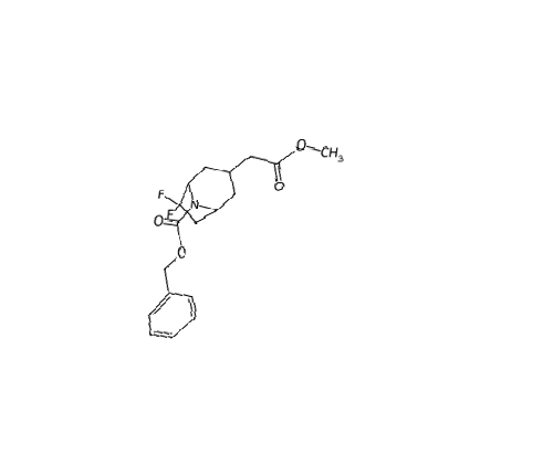 COC(=O)CC1CC2CC(F)(F)C(C1)N2C(=O)OCc1ccccc1